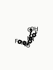 CC1CN(c2ccc(F)cc2)CCN1C(=O)c1ccc2nc(-c3ccc(F)cc3)c(CCCCC(=O)O)nc2c1